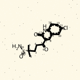 CC(C)(CCC(=O)c1cc2cc(Cl)ccc2[nH]c1=O)[S@+](N)[O-]